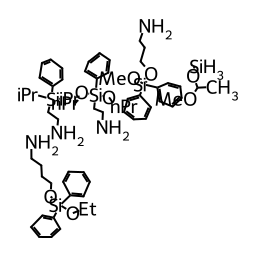 CC(C)[Si](CCN)(c1ccccc1)C(C)C.CCCO[Si](CCN)(OCCC)c1ccccc1.CCO[Si](OCCCCN)(c1ccccc1)c1ccccc1.COC(C)O[SiH3].CO[Si](OCCCN)(c1ccccc1)c1ccccc1